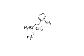 C=CC[Si](C)(C)C=Cc1ccccc1N